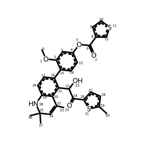 COc1cc(OC(=O)c2ccsc2)ccc1-c1ccc2c(c1C(O)C(=O)c1ccc(C)s1)C(C)=CC(C)(C)N2